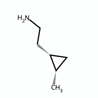 C[C@H]1C[C@H]1CCN